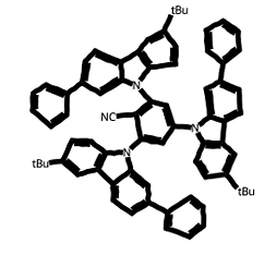 CC(C)(C)c1ccc2c(c1)c1ccc(-c3ccccc3)cc1n2-c1cc(-n2c3ccc(C(C)(C)C)cc3c3ccc(-c4ccccc4)cc32)c(C#N)c(-n2c3ccc(C(C)(C)C)cc3c3ccc(-c4ccccc4)cc32)c1